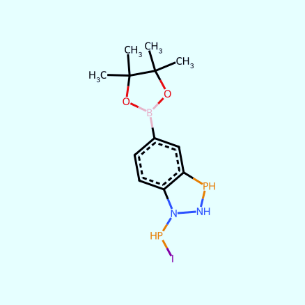 CC1(C)OB(c2ccc3c(c2)PNN3PI)OC1(C)C